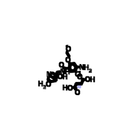 COCCOc1cc(N)c(Cl)cc1C(=O)NCC1(O)CN2CCC1CC2.O.O=C(O)/C=C/C(=O)O